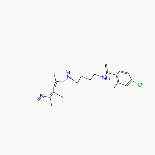 C=N/C(C)=C(C)\C=C(\C)CNCCCCNC(=C)c1ccc(Cl)cc1C